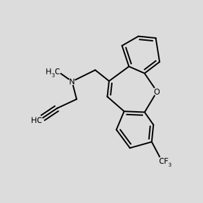 C#CCN(C)CC1=Cc2ccc(C(F)(F)F)cc2Oc2ccccc21